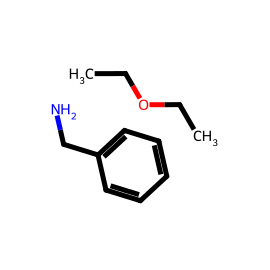 CCOCC.NCc1ccccc1